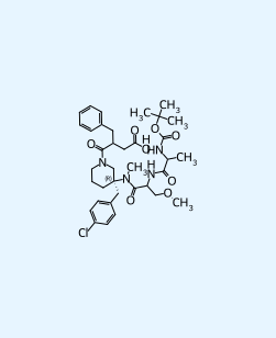 COCC(NC(=O)C(C)NC(=O)OC(C)(C)C)C(=O)N(C)[C@@]1(Cc2ccc(Cl)cc2)CCCN(C(=O)C(CC(=O)O)Cc2ccccc2)C1